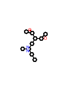 c1ccc(-c2ccc(-c3cc(-c4ccc(-c5cc(-c6ccc7oc8ccccc8c7c6)cc(-c6ccc7oc8ccccc8c7c6)c5)cc4)nc(-c4ccccc4)n3)cc2)cc1